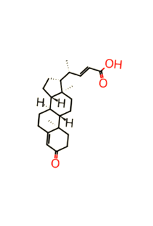 C[C@H](/C=C/C(=O)O)[C@H]1CC[C@H]2[C@@H]3CCC4=CC(=O)CC[C@]4(C)[C@H]3CC[C@]12C